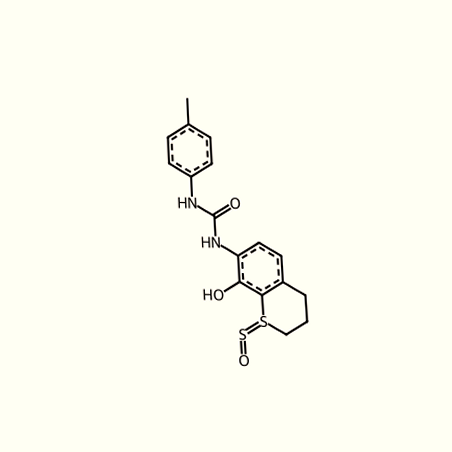 Cc1ccc(NC(=O)Nc2ccc3c(c2O)S(=S=O)CCC3)cc1